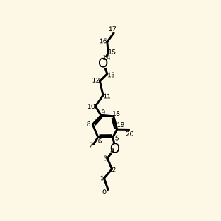 CCCCOc1c(C)cc(CCCCOCCC)cc1C